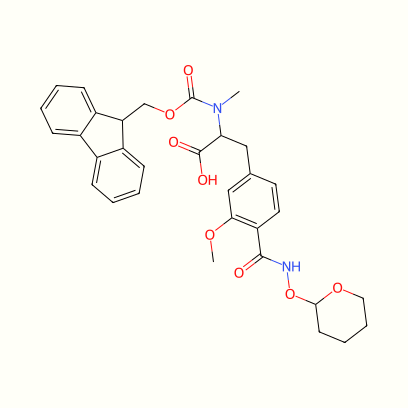 COc1cc(CC(C(=O)O)N(C)C(=O)OCC2c3ccccc3-c3ccccc32)ccc1C(=O)NOC1CCCCO1